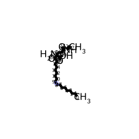 CCCCCCCC/C=C\CCCCCCCC(=O)C(N)(CCC(=O)NCC)C(=O)O